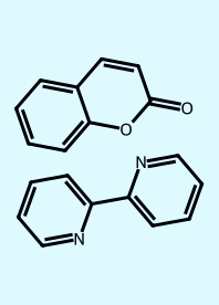 O=c1ccc2ccccc2o1.c1ccc(-c2ccccn2)nc1